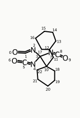 O=C=NC(N=C=O)(N=C=O)C1(CC2CCCCC2)CCCCC1